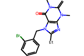 C=C1N(C)C(=O)c2c(nc(CC)n2Cc2ccccc2Br)N1C